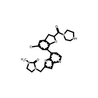 CN1CCN(Cc2cc3nccc(-c4cc(Cl)cc5c4OC(C(=O)N4CCNCC4)C5)c3s2)C1=O